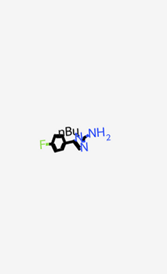 CCCCn1c(-c2ccc(F)cc2)cnc1N